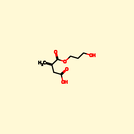 C=C(CC(=O)O)C(=O)OCCCO